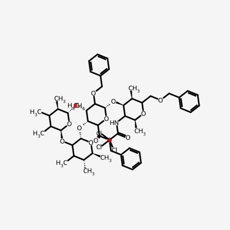 CC1C(C)[C@@H](C)[C@H](C)O[C@H]1OC1C(C)[C@@H](C)[C@H](C)O[C@H]1O[C@H]1C(C(=O)OCc2ccccc2)O[C@@H](O[C@@H]2C(NC(=O)C(Cl)(Cl)Cl)[C@H](C)OC(COCc3ccccc3)[C@@H]2C)C(OCc2ccccc2)[C@H]1C